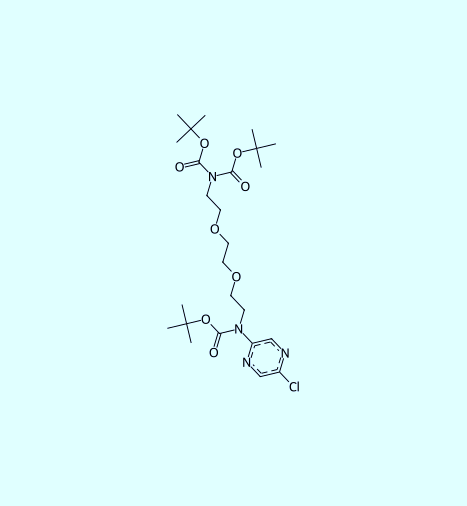 CC(C)(C)OC(=O)N(CCOCCOCCN(C(=O)OC(C)(C)C)c1cnc(Cl)cn1)C(=O)OC(C)(C)C